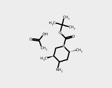 CC(=O)O.C[C@@H]1CC(N)[C@@H](C)CN1C(=O)OC(C)(C)C